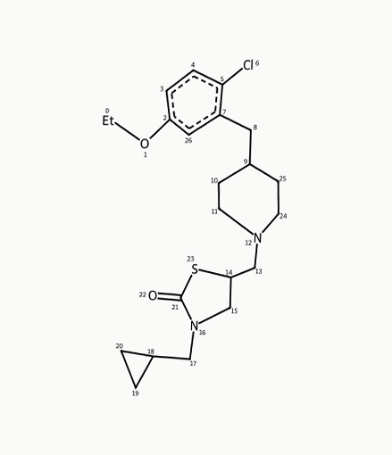 CCOc1ccc(Cl)c(CC2CCN(CC3CN(CC4CC4)C(=O)S3)CC2)c1